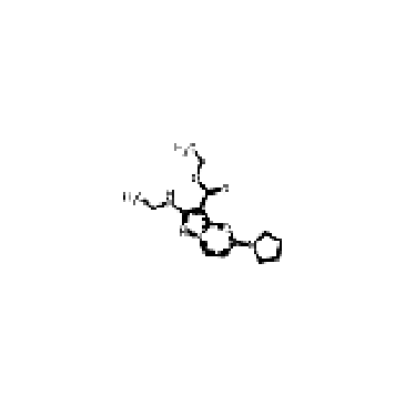 CCNc1nn2ccc(N3CCCC3)nc2c1C(=O)OCC